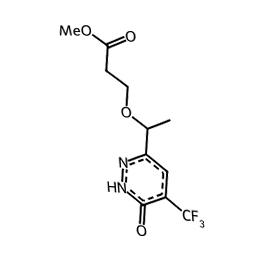 COC(=O)CCOC(C)c1cc(C(F)(F)F)c(=O)[nH]n1